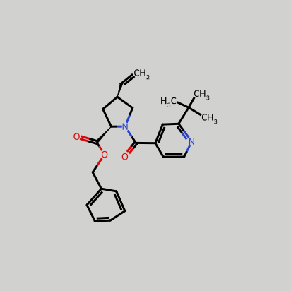 C=C[C@@H]1C[C@H](C(=O)OCc2ccccc2)N(C(=O)c2ccnc(C(C)(C)C)c2)C1